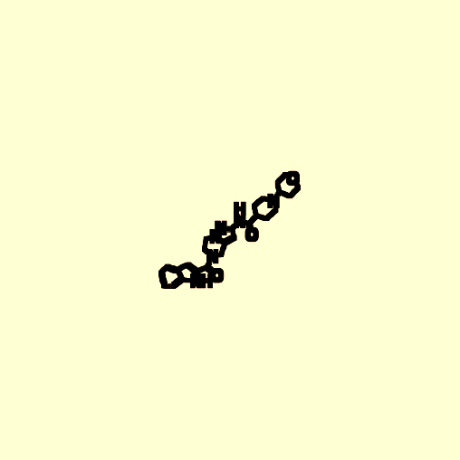 O=C(Nc1cc2n(n1)CCN(C(=O)c1cc3ccccc3[nH]1)C2)C1CCN(C2CCOCC2)CC1